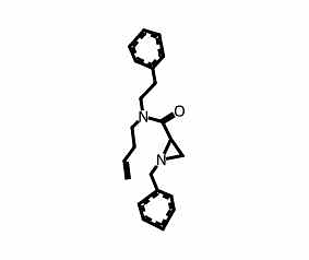 C=CCCN(CCc1ccccc1)C(=O)C1CN1Cc1ccccc1